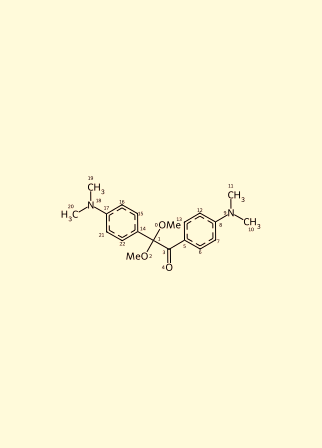 COC(OC)(C(=O)c1ccc(N(C)C)cc1)c1ccc(N(C)C)cc1